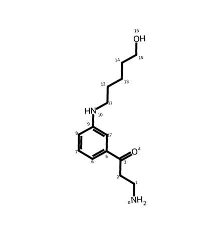 NCCC(=O)c1cccc(NCCCCCO)c1